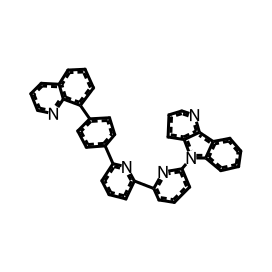 c1cc(-c2ccc(-c3cccc4cccnc34)cc2)nc(-c2cccc(-n3c4ccccc4c4ncccc43)n2)c1